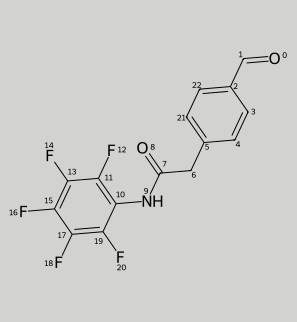 O=Cc1ccc(CC(=O)Nc2c(F)c(F)c(F)c(F)c2F)cc1